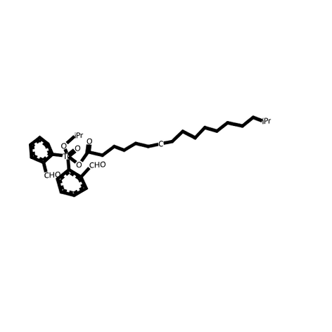 CC(C)CCCCCCCCCCCCCCC(=O)[O][Ti](=[O])([O]C(C)C)([c]1ccccc1C=O)[c]1ccccc1C=O